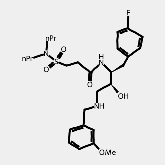 CCCN(CCC)S(=O)(=O)CCC(=O)N[C@@H](Cc1ccc(F)cc1)[C@@H](O)CNCc1cccc(OC)c1